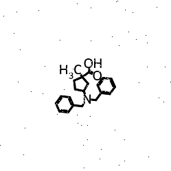 CC1(C(=O)O)CCC(N(Cc2ccccc2)Cc2ccccc2)C1